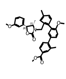 COC(=O)c1ccc(-c2ccc(OC)c(-c3ccc(C)cc3CN3C(=O)O[C@H](c4cccc(OC)c4)[C@@H]3C)c2)c(C)c1